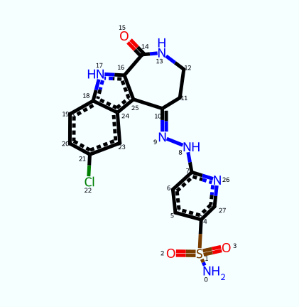 NS(=O)(=O)c1ccc(N/N=C2\CCNC(=O)c3[nH]c4ccc(Cl)cc4c32)nc1